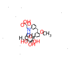 COc1ccc([C@@H]2OC(C)(C)[C@@H](O)[C@H](O)[C@H]2O)cc1Cc1ccc2c(c1)NCC(C(=O)O)O2